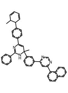 CC1C=CC=CC1c1ccc(C2=CC(C)(c3cccc(-c4cc(-c5cccc6ccccc56)ncn4)c3)NC(c3ccccc3)=N2)cc1